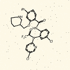 CC(C)c1ccc(C(=O)Nc2ccc(Cl)cc2N(C(=O)C(F)(F)F)c2ccc(Cl)cn2)c(OCC2CCCNC2)c1